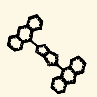 c1ccc2c(-c3nc4sc(-c5c6ccccc6cc6ccccc56)nc4s3)c3ccccc3cc2c1